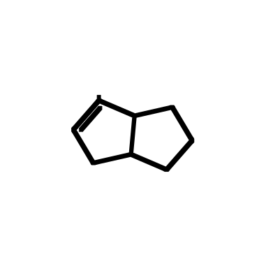 [C]1=CCC2CCCC12